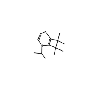 CC(C)N1C=CCC2=C1C(C)(C)C2(C)C